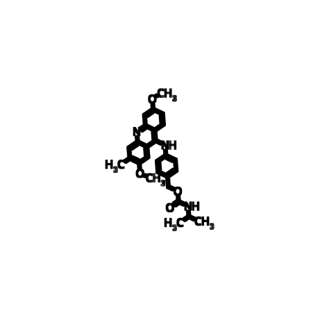 COc1ccc2c(Nc3ccc(COC(=O)NC(C)C)cc3)c3cc(OC)c(C)cc3nc2c1